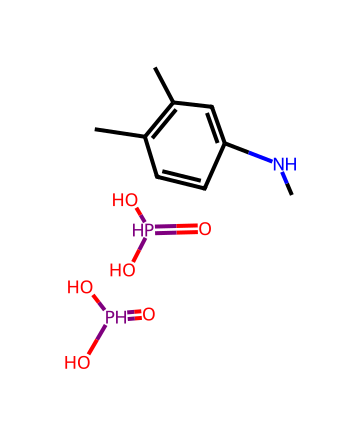 CNc1ccc(C)c(C)c1.O=[PH](O)O.O=[PH](O)O